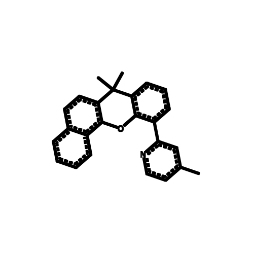 Cc1ccnc(-c2cccc3c2Oc2c(ccc4ccccc24)C3(C)C)c1